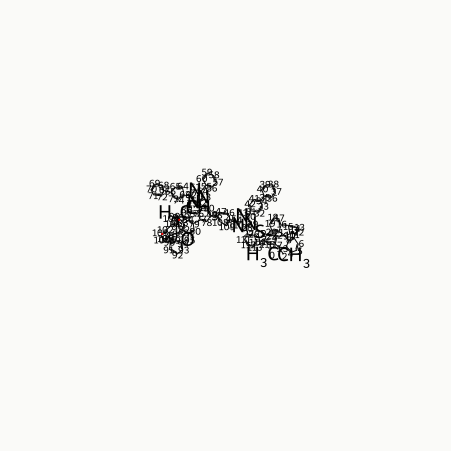 CC1(C)c2ccccc2C2(c3ccccc3-c3ccccc32)c2cc3sc4c(-c5nc(-c6ccc(-c7ccccc7)cc6)nc(-c6ccc(-c7cc(-c8nc(-c9ccccc9)nc(-c9ccc(-c%10ccccc%10)cc9)n8)c8c(c7)-c7cc9c(cc7C8(C)C)C7(c8ccccc8O9)c8ccccc8-c8ccccc87)cc6)n5)cccc4c3cc21